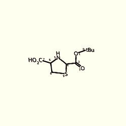 CC(C)(C)OC(=O)C1NC(C(=O)O)CS1